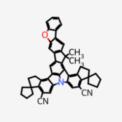 CC1(C)c2cc3c(cc2-c2cc4c5c6c(c(C#N)cc5n5c7cc(C#N)c8c(c7c(c21)c45)CCC81CCCC1)C1(CCCC1)CC6)oc1ccccc13